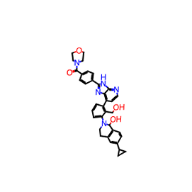 O=C(c1ccc(-c2nc3c(-c4cccc(N5CCc6cc(C7CC7)ccc6C5O)c4CO)ccnc3[nH]2)cc1)N1CCOCC1